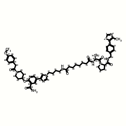 Cc1ncsc1-c1ccc(CNC(=O)C2CCCN2C(=O)[C@@H](NC(=O)CCCCCCC(=O)NCCCCn2cnc(-c3cnc(OC4CCN(C(=O)Cc5ccc(OC(F)(F)F)cc5)CC4)c(C(N)=O)c3)c2)C(C)(C)C)cc1